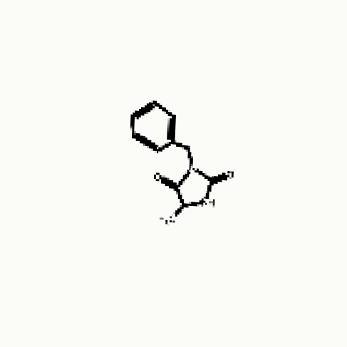 CC1NC(=O)N(Cc2ccccc2)C1=O